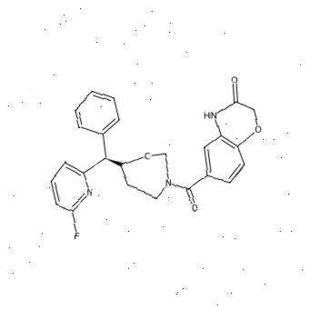 O=C1COc2ccc(C(=O)N3CCC([C@H](c4ccccc4)c4cccc(F)n4)CC3)cc2N1